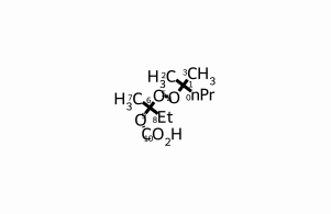 CCCC(C)(C)OOC(C)(CC)OC(=O)O